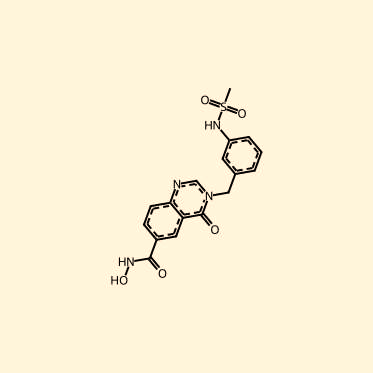 CS(=O)(=O)Nc1cccc(Cn2cnc3ccc(C(=O)NO)cc3c2=O)c1